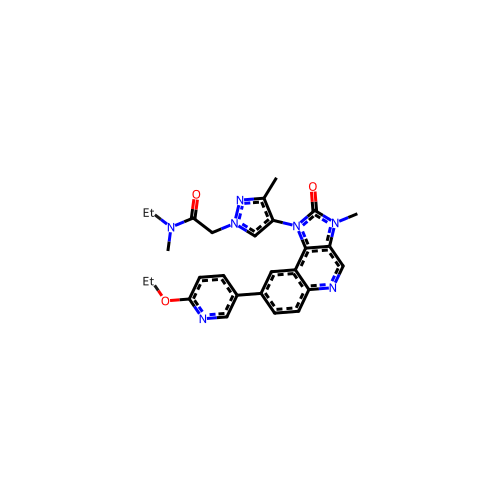 CCOc1ccc(-c2ccc3ncc4c(c3c2)n(-c2cn(CC(=O)N(C)CC)nc2C)c(=O)n4C)cn1